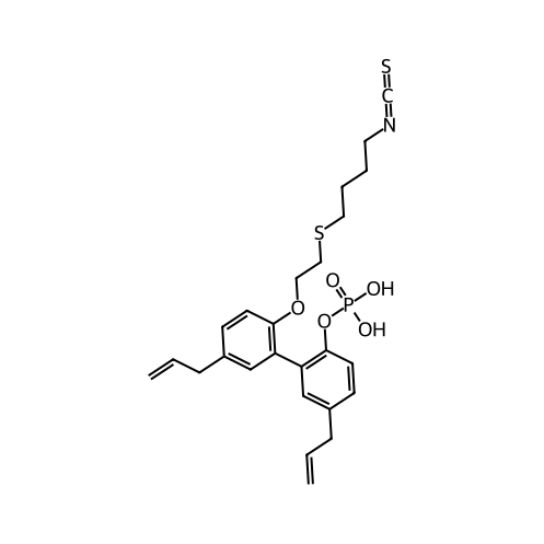 C=CCc1ccc(OCCSCCCCN=C=S)c(-c2cc(CC=C)ccc2OP(=O)(O)O)c1